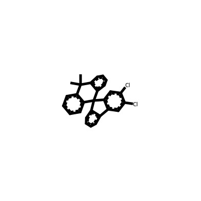 CC1(C)c2ccccc2C2(c3ccccc3-c3cc(Cl)c(Cl)cc32)c2ccccc21